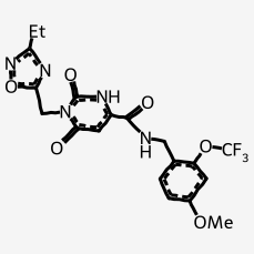 CCc1noc(Cn2c(=O)cc(C(=O)NCc3ccc(OC)cc3OC(F)(F)F)[nH]c2=O)n1